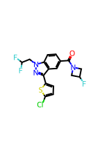 O=C(c1ccc2c(c1)c(-c1ccc(Cl)s1)nn2CC(F)F)N1CC(F)C1